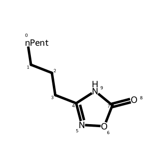 CCCCCCCCc1noc(=O)[nH]1